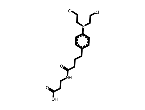 O=C(O)CCNC(=O)CCCc1ccc(N(CCCl)CCCl)cc1